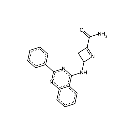 NC(=O)C1=NC(Nc2nc(-c3ccccc3)nc3ccccc23)C1